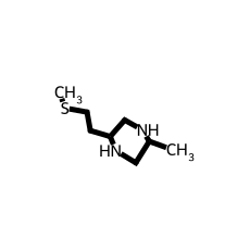 CSCCC1CNC(C)CN1